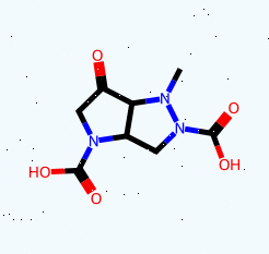 CN1C2C(=O)CN(C(=O)O)C2CN1C(=O)O